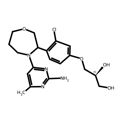 Cc1cc(N2CCCOCC2c2ccc(OC[C@@H](O)CO)cc2Cl)nc(N)n1